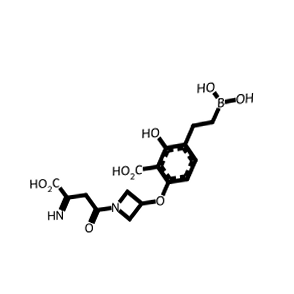 N=C(CC(=O)N1CC(Oc2ccc(CCB(O)O)c(O)c2C(=O)O)C1)C(=O)O